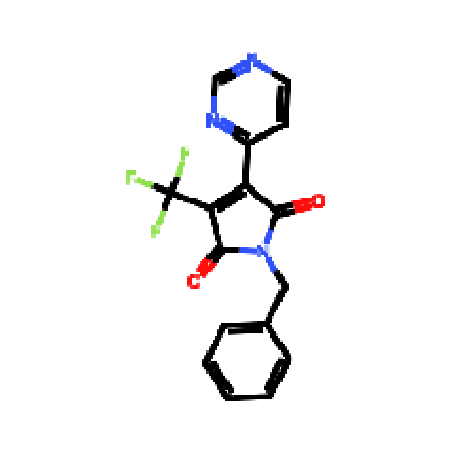 O=C1C(c2ccncn2)=C(C(F)(F)F)C(=O)N1Cc1ccccc1